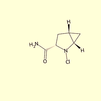 NC(=O)[C@@H]1C[C@@H]2C[C@@H]2N1Cl